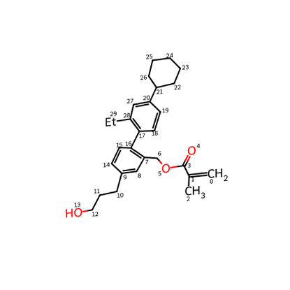 C=C(C)C(=O)OCc1cc(CCCO)ccc1-c1ccc(C2CCCCC2)cc1CC